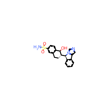 NS(=O)(=O)c1ccc2c(c1)CC[C@@H]([C@@H]1c3ccccc3-c3cncn31)C2O